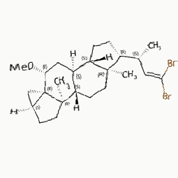 CO[C@@H]1C[C@H]2[C@@H]3CC[C@H]([C@H](C)C=C(Br)Br)[C@@]3(C)CC[C@@H]2[C@@]2(C)CC[C@H]3C[C@]312